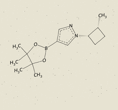 C[C@@H]1CC[C@@H]1n1cc(B2OC(C)(C)C(C)(C)O2)cn1